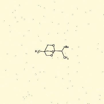 CCCCC(C)C12OCC(C)(CO1)CO2